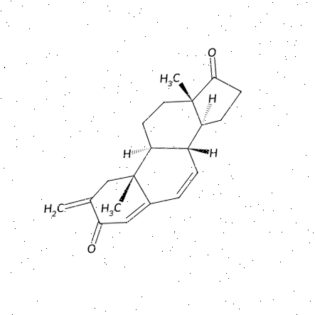 C=C1C[C@@]2(C)C(=CC1=O)C=C[C@@H]1[C@@H]2CC[C@]2(C)C(=O)CC[C@@H]12